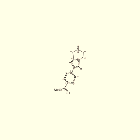 COC(=O)c1ccc(-c2cc3c(s2)CCNC3)cc1